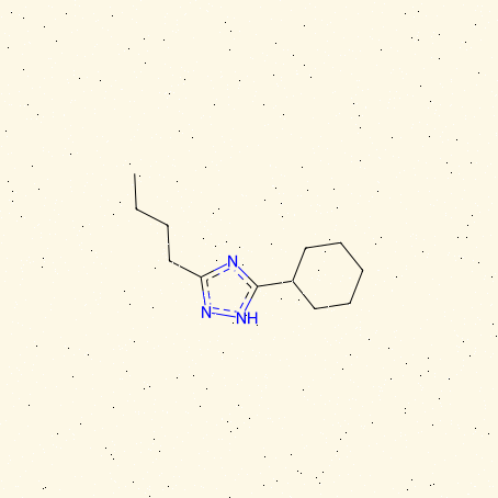 CCCCc1n[nH]c(C2CCCCC2)n1